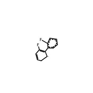 FC1=C(c2ccccc2F)[CH]CC=C1